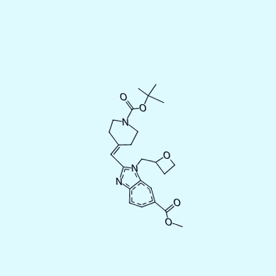 COC(=O)c1ccc2nc(C=C3CCN(C(=O)OC(C)(C)C)CC3)n(CC3CCO3)c2c1